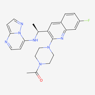 CC(=O)N1CCN(c2nc3cc(F)ccc3cc2[C@H](C)Nc2ccnc3ccnn23)CC1